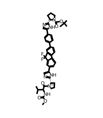 COC(=O)NC(C(=O)N1CCC[C@H]1c1ncc(-c2ccc3c(c2)C(F)(F)c2cc(-c4ccc(-c5cnc([C@@H]6CCCN6C(=O)OC(C)(C)C)[nH]5)cc4)ccc2-3)[nH]1)C(C)C